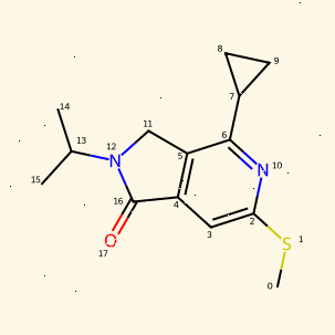 CSc1cc2c(c(C3CC3)n1)CN(C(C)C)C2=O